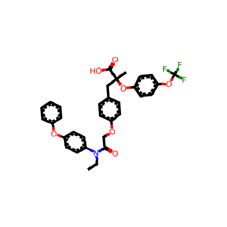 CCN(C(=O)COc1ccc(CC(C)(Oc2ccc(OC(F)(F)F)cc2)C(=O)O)cc1)c1ccc(Oc2ccccc2)cc1